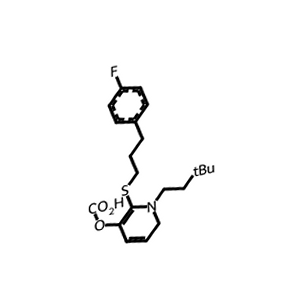 CC(C)(C)CCN1CC=CC(OC(=O)O)=C1SCCCc1ccc(F)cc1